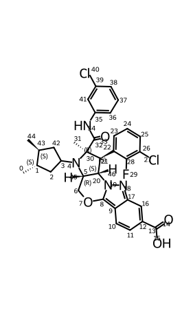 C[C@H]1CC(N2[C@H]3COc4c5ccc(C(=O)O)cc5nn4[C@H]3[C@H](c3cccc(Cl)c3F)[C@]2(C)C(=O)Nc2cccc(Cl)c2)C[C@@H]1C